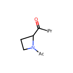 CC(=O)N1CCC1C(=O)C(C)C